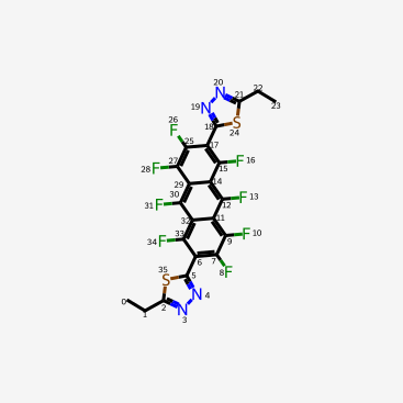 CCc1nnc(-c2c(F)c(F)c3c(F)c4c(F)c(-c5nnc(CC)s5)c(F)c(F)c4c(F)c3c2F)s1